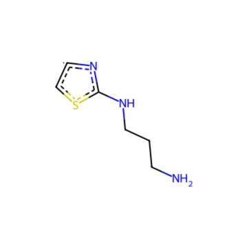 NCCCNc1n[c]cs1